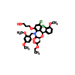 CCOC(=O)C[C@H]1O[C@H](c2cccc(OC)c2Cl)c2cc(Cl)cc(OCCCO)c2N(Cc2ccc(OC)cc2OC)C1=O